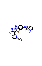 CN1CCC[C@H]1C(=O)Nc1ccc2c(c1)S/C(=C(/C(N)=O)c1nccc(C(F)(F)F)n1)N2